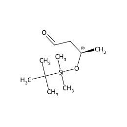 C[C@H](CC=O)O[Si](C)(C)C(C)(C)C